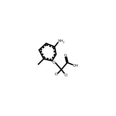 Cc1ccc(N)cc1.O=C(O)C(Cl)(Cl)Cl